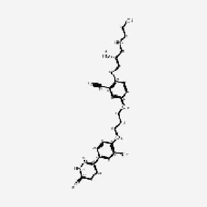 CCCNC[C@@H](O)COc1ccc(OCCCOc2ccc(C3=NNC(=O)CC3)cc2Cl)cc1C#N